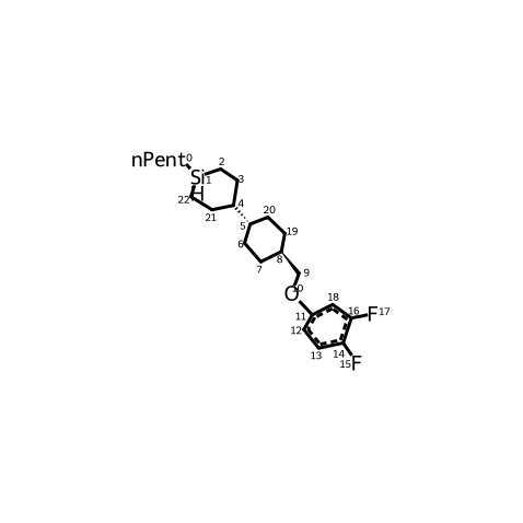 CCCCC[SiH]1CCC([C@H]2CC[C@H](COc3ccc(F)c(F)c3)CC2)CC1